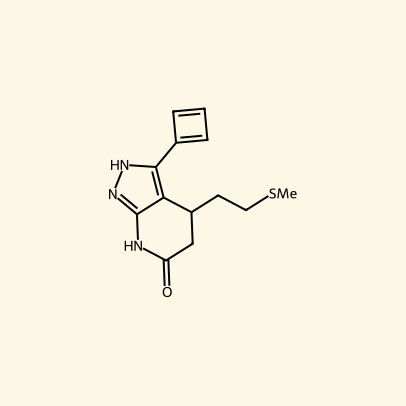 CSCCC1CC(=O)Nc2n[nH]c(C3=CC=C3)c21